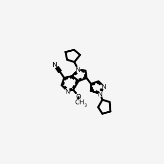 COc1ncc(C#N)c2c1c(-c1cnn(C3CCCC3)c1)cn2C1CCCC1